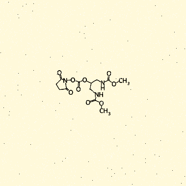 COC(=O)NCC(CNC(=O)OC)OC(=O)ON1C(=O)CCC1=O